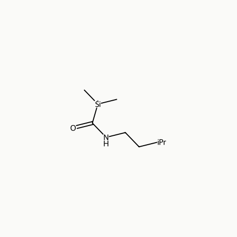 CC(C)CCNC(=O)[Si](C)C